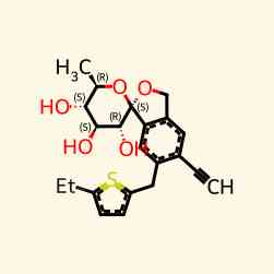 C#Cc1cc2c(cc1Cc1ccc(CC)s1)[C@]1(OC2)O[C@H](C)[C@@H](O)[C@H](O)[C@H]1O